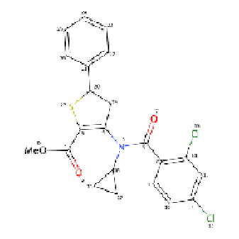 COC(=O)C1=C(N(C(=O)c2ccc(Cl)cc2Cl)C2CC2)CC(c2ccccc2)S1